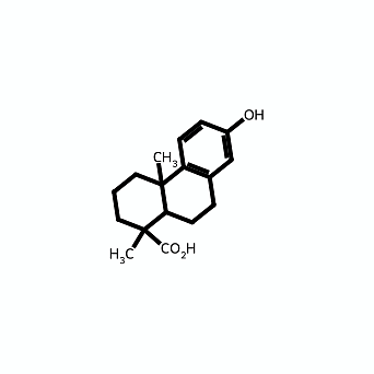 CC1(C(=O)O)CCCC2(C)c3ccc(O)cc3CCC12